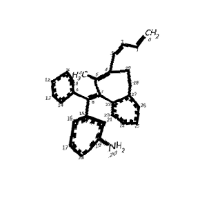 C=C/C=C\C1=C(C)C(=C(\c2ccccc2)c2cccc(N)c2)/c2ccccc2CC1